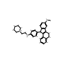 COc1ccc2c(c1)C1=C(c3ccccc3CC1)C2c1ccc(OCCN2CCCCC2)cc1